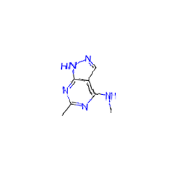 CNc1nc(C)nc2[nH]ncc12